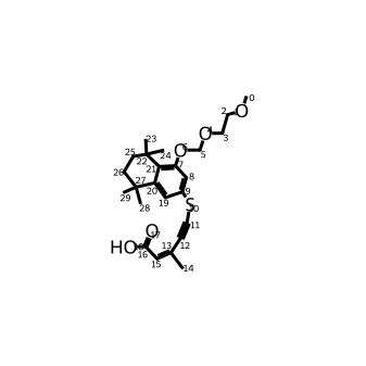 COCCOCOc1cc(SC#CC(C)=CC(=O)O)cc2c1C(C)(C)CCC2(C)C